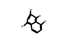 Brc1[c]c(Br)c2cccc(Br)c2c1Br